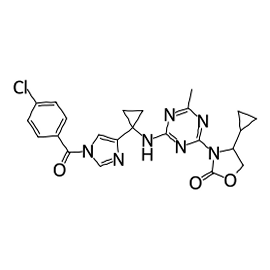 Cc1nc(NC2(c3cn(C(=O)c4ccc(Cl)cc4)cn3)CC2)nc(N2C(=O)OCC2C2CC2)n1